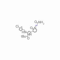 CC(C)(C)C(=O)n1nc(-c2cccn(/C=C/C(N)=O)c2=O)cc1NCc1ccc(Cl)s1